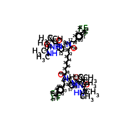 CN[C@@H](C)C(=O)N[C@H](C(=O)N1CCC[C@H]1CN(CCc1ccc(C(F)(F)F)cc1)C(=O)CCCCCCCCC(=O)N(CCc1ccc(C(F)(F)F)cc1)C[C@@H]1CCCN1C(=O)[C@@H](NC(=O)[C@H](C)NC)C(C)(C)C)C(C)(C)C